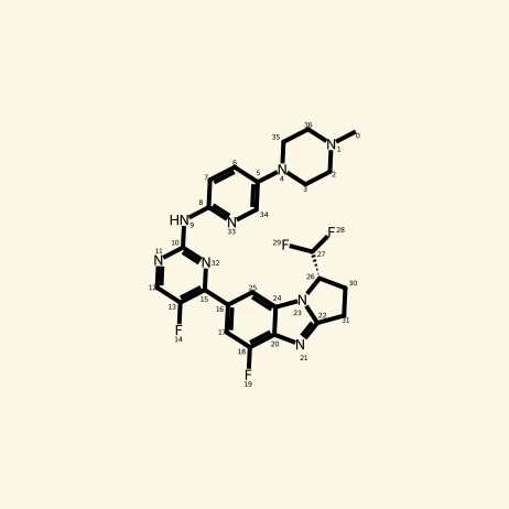 CN1CCN(c2ccc(Nc3ncc(F)c(-c4cc(F)c5nc6n(c5c4)[C@H](C(F)F)CC6)n3)nc2)CC1